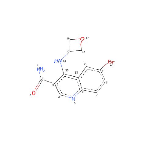 NC(=O)c1cnc2ccc(Br)cc2c1NC1COC1